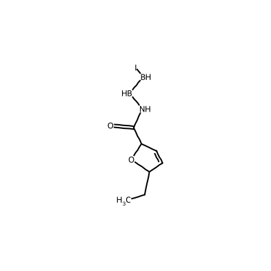 CCC1C=CC(C(=O)NBBI)O1